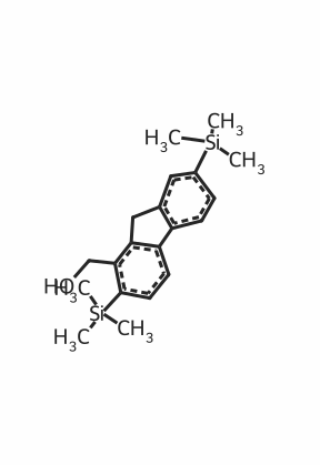 C[Si](C)(C)c1ccc2c(c1)Cc1c-2ccc([Si](C)(C)C)c1CO